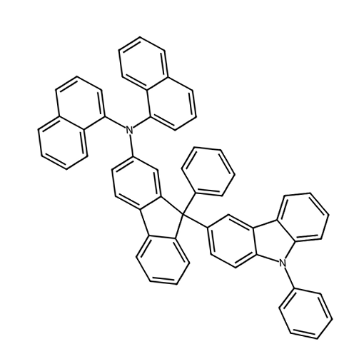 c1ccc(-n2c3ccccc3c3cc(C4(c5ccccc5)c5ccccc5-c5ccc(N(c6cccc7ccccc67)c6cccc7ccccc67)cc54)ccc32)cc1